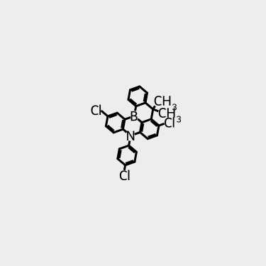 CC1(C)c2ccccc2B2c3cc(Cl)ccc3N(c3ccc(Cl)cc3)c3ccc(Cl)c1c32